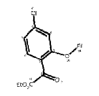 CCOC(=O)C(=O)c1ccc(Cl)cc1OCC